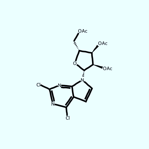 CC(=O)OC[C@H]1O[C@@H](n2ccc3c(Cl)nc(Cl)nc32)[C@H](OC(C)=O)[C@@H]1OC(C)=O